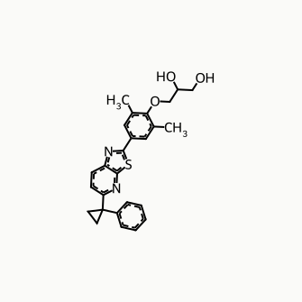 Cc1cc(-c2nc3ccc(C4(c5ccccc5)CC4)nc3s2)cc(C)c1OCC(O)CO